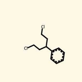 ClCC[C](CCCl)c1ccccc1